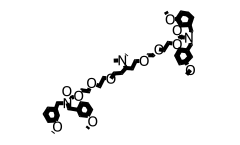 COc1cccc(CN(Cc2cccc(OC)c2)C(=O)OCCOCCOCCC(CCOCCOCCOC(=O)N(Cc2cccc(OC)c2)Cc2cccc(OC)c2)N(C)C)c1